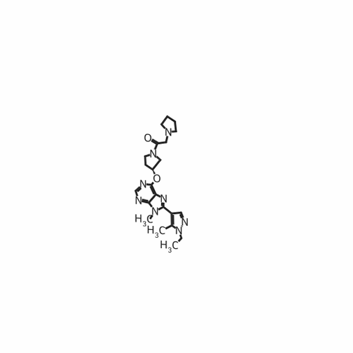 CCn1ncc(-c2nc3c(O[C@H]4CCN(C(=O)CN5CCCC5)C4)ncnc3n2C)c1C